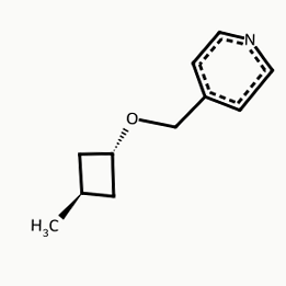 C[C@H]1C[C@H](OCc2ccncc2)C1